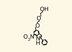 O=[N+]([O-])c1cc(COCCOCCCO)cc2cc(-c3ccccc3)[nH]c12